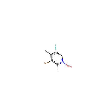 Cc1c(F)c[n+](O)c(C)c1Br